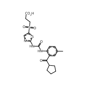 Cc1ccc(NC(=O)Nc2ncc(S(=O)(=O)CCC(=O)O)s2)c(C(=O)C2CCCC2)c1